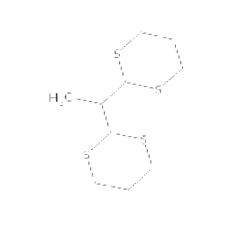 CC(C1SCCCS1)C1SCCCS1